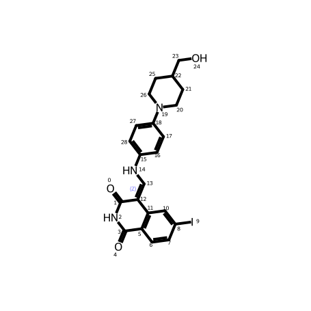 O=C1NC(=O)c2ccc(I)cc2/C1=C/Nc1ccc(N2CCC(CO)CC2)cc1